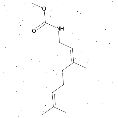 COC(=O)NC/C=C(/C)CCC=C(C)C